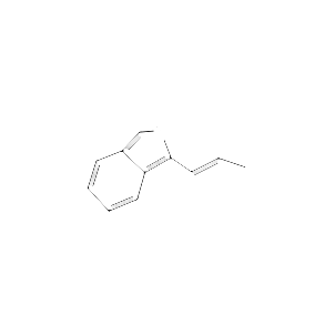 C/C=C/c1scc2ccccc12